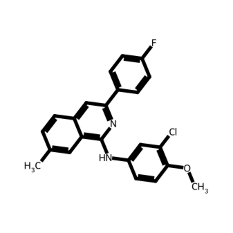 COc1ccc(Nc2nc(-c3ccc(F)cc3)cc3ccc(C)cc23)cc1Cl